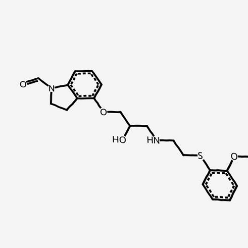 COc1ccccc1SCCNCC(O)COc1cccc2c1CCN2C=O